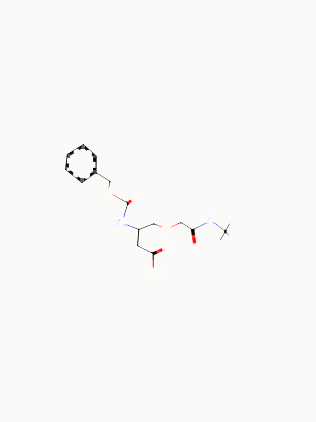 CC(C)(C)NC(=O)COCC(CC(=O)O)NC(=O)OCc1ccccc1